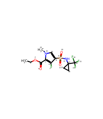 CCOC(=O)c1c(F)c(S(=O)(=O)NC2(C(F)(F)F)CC2)cn1C